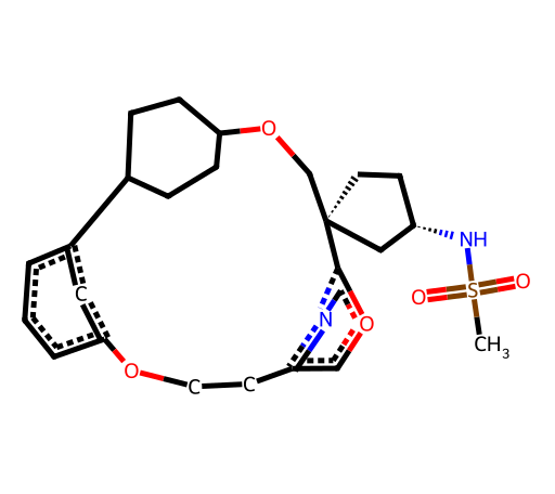 CS(=O)(=O)N[C@H]1CC[C@]2(COC3CCC(CC3)c3cccc(c3)OCCc3coc2n3)C1